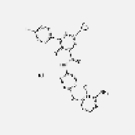 Cl.Nc1nccc(Oc2ccc(NC(=O)c3cn(C4CC4)nc(-c4ccc(F)cc4)c3=O)nc2)c1Cl